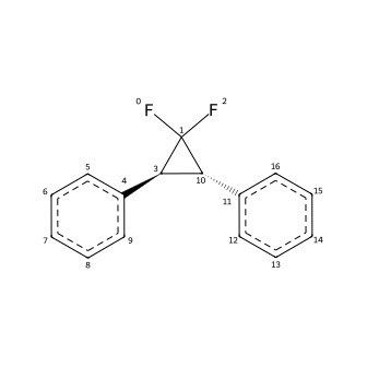 FC1(F)[C@H](c2ccccc2)[C@H]1c1ccccc1